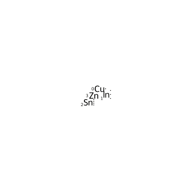 [Cu].[In].[Sn].[Zn]